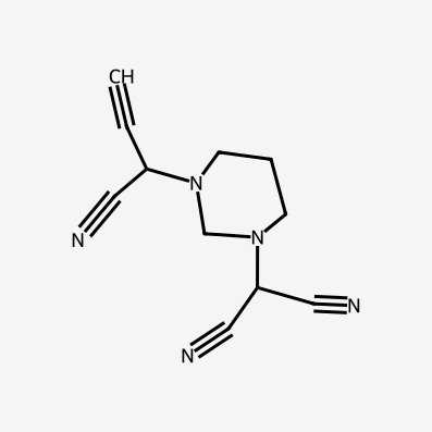 C#CC(C#N)N1CCCN(C(C#N)C#N)C1